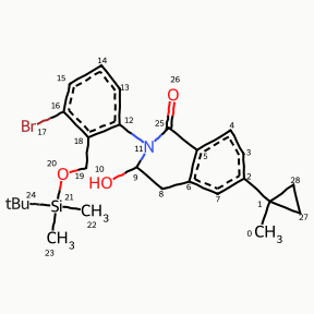 CC1(c2ccc3c(c2)CC(O)N(c2cccc(Br)c2CO[Si](C)(C)C(C)(C)C)C3=O)CC1